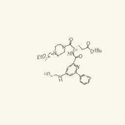 CCOC(=O)N1CCN(C(=O)[C@H](CCC(=O)OC(C)(C)C)NC(=O)c2cc(NCCO)cc(-c3ccccc3)n2)CC1